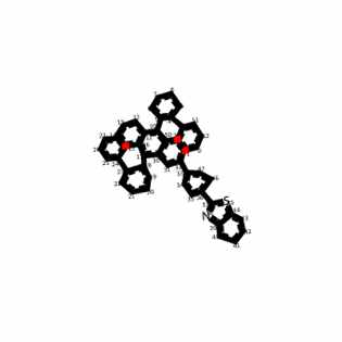 c1ccc(-c2ccccc2-c2c3ccccc3c(-c3ccccc3-c3ccccc3)c3cc(-c4ccc(-c5nc6ccccc6s5)cc4)ccc23)cc1